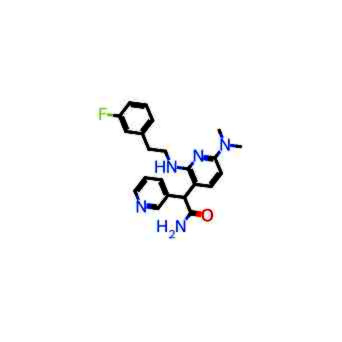 CN(C)c1ccc(C(C(N)=O)c2cccnc2)c(NCCc2cccc(F)c2)n1